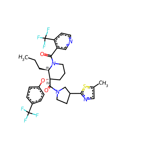 CCC[C@H]1N(C(=O)c2cnccc2C(F)(F)F)CCC[C@@]1(Oc1ccc(C(F)(F)F)cc1)C(=O)N1CCC(c2ncc(C)s2)C1